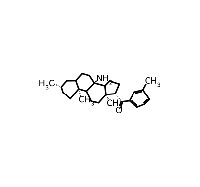 Cc1cccc(C(=O)[C@H]2CCC3[C@]4(N)CCC5C[C@@H](C)CC[C@]5(C)C4CC[C@@]32C)c1